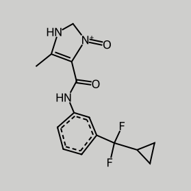 CC1=C(C(=O)Nc2cccc(C(F)(F)C3CC3)c2)[N+](=O)CN1